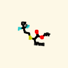 CCCCCC(SCCC(F)(F)C(F)(F)F)C(=O)OCCC